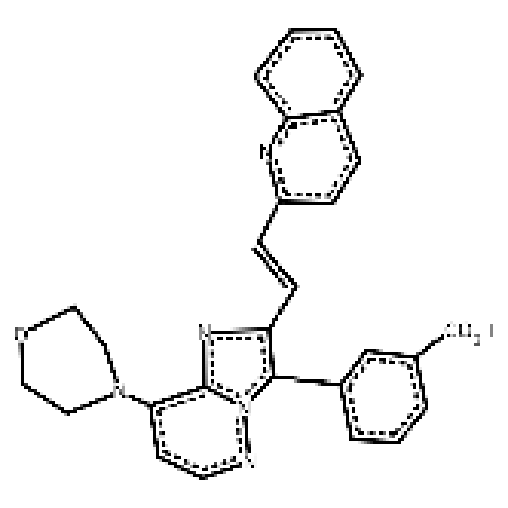 O=C(O)c1cccc(-c2c(/C=C/c3ccc4ccccc4n3)nc3c(N4CCOCC4)ccnn23)c1